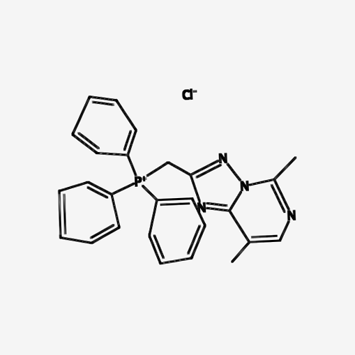 Cc1cnc(C)n2nc(C[P+](c3ccccc3)(c3ccccc3)c3ccccc3)nc12.[Cl-]